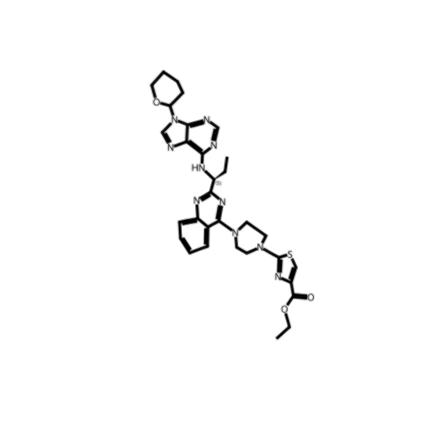 CCOC(=O)c1csc(N2CCN(c3nc([C@H](CC)Nc4ncnc5c4ncn5C4CCCCO4)nc4ccccc34)CC2)n1